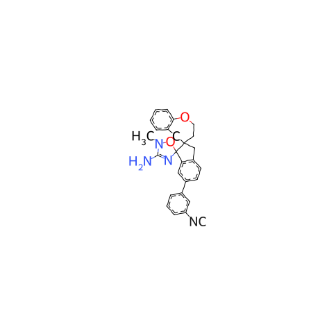 [C-]#[N+]c1cccc(-c2ccc3c(c2)C2(N=C(N)N(C)O2)C2(CCOc4ccccc4C2)C3)c1